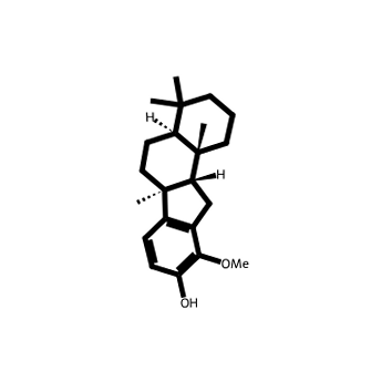 COc1c(O)ccc2c1C[C@H]1[C@@]3(C)CCCC(C)(C)[C@@H]3CC[C@]21C